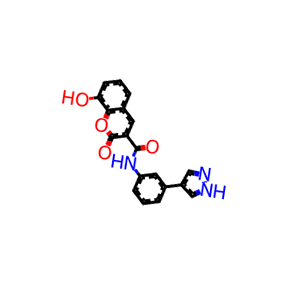 O=C(Nc1cccc(-c2cn[nH]c2)c1)c1cc2cccc(O)c2oc1=O